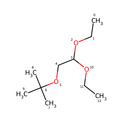 CCOC(COC(C)(C)C)OCC